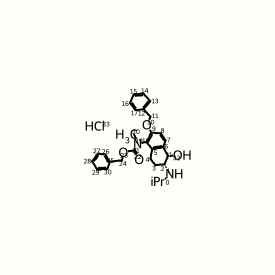 CC(C)N[C@@H]1CCc2c(ccc(OCc3ccccc3)c2N(C)C(=O)OCc2ccccc2)[C@H]1O.Cl